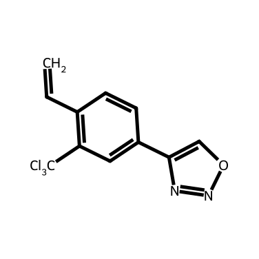 C=Cc1ccc(-c2conn2)cc1C(Cl)(Cl)Cl